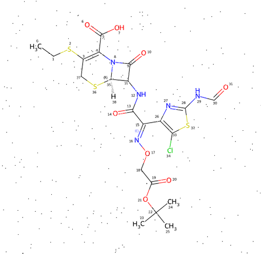 CCSC1=C(C(=O)O)N2C(=O)C(NC(=O)/C(=N/OCC(=O)OC(C)(C)C)c3nc(NC=O)sc3Cl)[C@H]2SC1